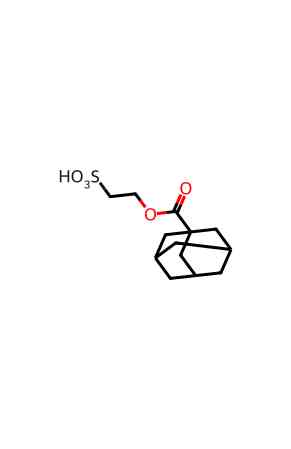 O=C(OCCS(=O)(=O)O)C12CC3CC(CC(C3)C1)C2